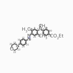 CCOC(=O)c1ccc(N(C)c2cc(C)c(/N=N/c3ccc(N4CCOCC4)cc3)cc2C)cc1